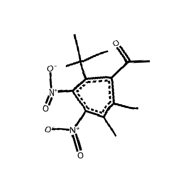 CC(=O)c1c(C)c(C)c([N+](=O)[O-])c([N+](=O)[O-])c1C(C)(C)C